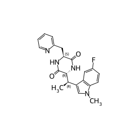 C[C@H](c1cn(C)c2ccc(F)cc12)[C@H]1NC(=O)[C@H](Cc2ccccn2)NC1=O